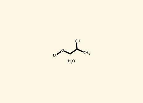 CCOCC(C)O.O